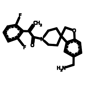 C=C(C(=O)N1CCC2(CC1)COc1ccc(CN)cc12)c1c(F)cccc1F